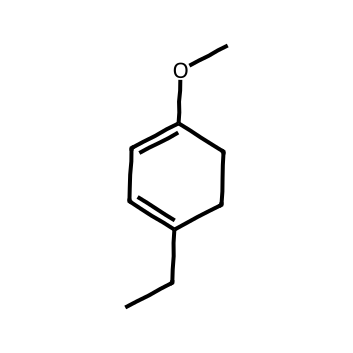 CCC1=CC=C(OC)CC1